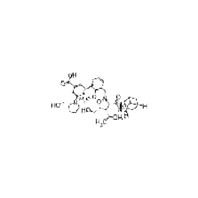 C=C1C2C[C@@H](NC(=O)[C@@H]3[C@H]([C@H](C)O)[C@H](CO)ON3Cc3cccc(-c4cc(C(=O)O)cc(N5CCC[C@@H]5CO)c4)c3OC)C[C@H]1C2